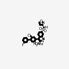 COc1cc(-c2cccc(F)c2)c(Cl)cc1-c1c(N)nnc2cc(S(=O)(=O)Nc3ccon3)ccc12